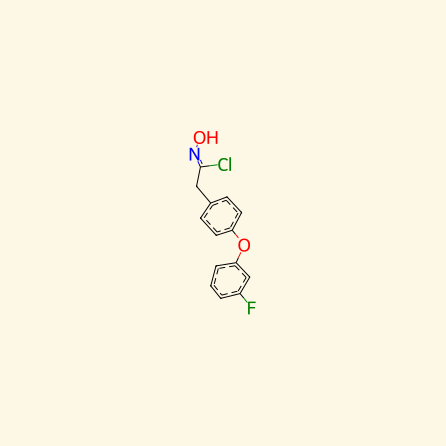 O/N=C(\Cl)Cc1ccc(Oc2cccc(F)c2)cc1